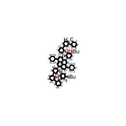 Cc1ccccc1-c1cccc(-c2cccc(N(c3cccc(C(C)(C)C)c3)c3cc(C4CCCCC4)c4ccc5c(N(c6cccc(C(C)(C)C)c6)c6cccc7c6oc6c(-c8ccccc8C)cccc67)cc(C6CCCCC6)c6ccc3c4c65)c2O)c1